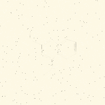 CCOc1nc(OI)c2ccccc2n1